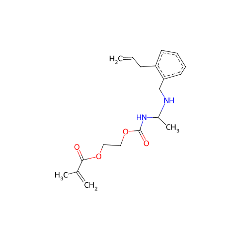 C=CCc1ccccc1CNC(C)NC(=O)OCCOC(=O)C(=C)C